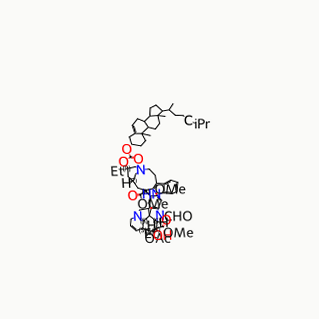 CC[C@@]1(OC(=O)OC2CCC3(C)C(=CCC4C3CCC3(C)C(C(C)CCCC(C)C)CCC43)C2)C[C@@H]2CN(CCc3c([nH]c4ccccc34)[C@](C(=O)OC)(c3cc4c(cc3OC)N(C=O)[C@H]3C45CCN4CC=C[C@@](CC)([C@@H]45)[C@H](OC(C)=O)[C@@]3(O)C(=O)OC)C2)C1